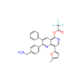 Cc1ccc(-c2cnc(OC(=O)C(F)(F)F)c3cc(-c4ccccc4)c(-c4ccc(CN)cc4)nc23)o1